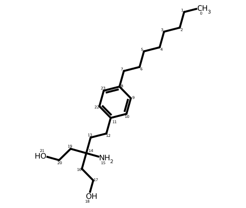 CCCCCCCCc1ccc(CCC(N)(CCO)CCO)cc1